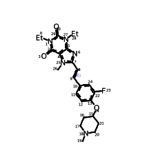 CCn1c(=O)c2c(nc(/C=C/c3ccc(OC4CCN(C)CC4)c(F)c3)n2C)n(CC)c1=O